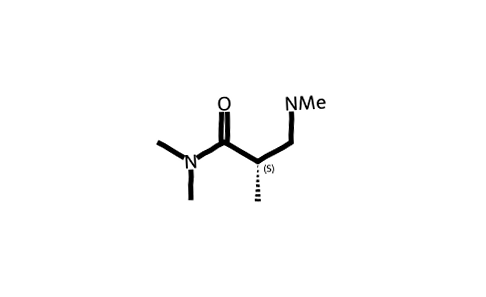 CNC[C@H](C)C(=O)N(C)C